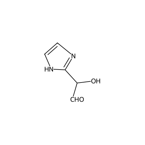 O=CC(O)c1ncc[nH]1